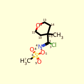 CC1(C(Cl)=NOS(C)(=O)=O)CCOCC1